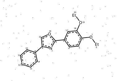 CCOc1ccc(-c2nc(-c3ccncc3)co2)cc1OCC